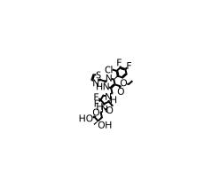 CCOC(=O)C1=C(CN2CC(F)(F)[C@H]3[C@@H]2CON3CC[C@](C)(O)C(=O)O)NC(c2nccs2)=N[C@H]1c1ccc(F)c(F)c1Cl